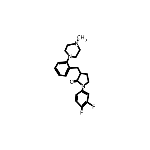 CN1CCN(c2ccccc2CC2CCN(c3ccc(F)c(F)c3)C2=O)CC1